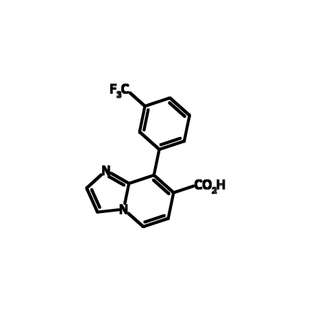 O=C(O)c1ccn2ccnc2c1-c1cccc(C(F)(F)F)c1